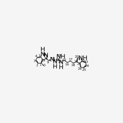 Cc1cccc2[nH]nc(C=NNC(=N)NCCCCc3c[nH]c4ccccc34)c12